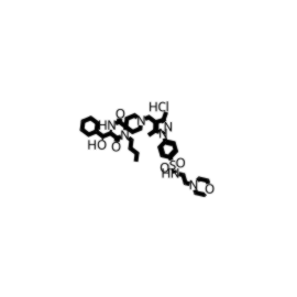 CCCCN1C(=O)[C@@H]([C@H](O)C2CCCCC2)NC(=O)C12CCN(Cc1c(C)nn(-c3ccc(S(=O)(=O)NCCN4CCOCC4)cc3)c1C)CC2.Cl